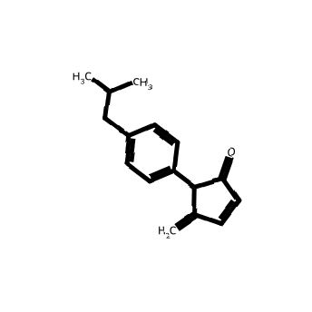 C=C1C=CC(=O)C1c1ccc(CC(C)C)cc1